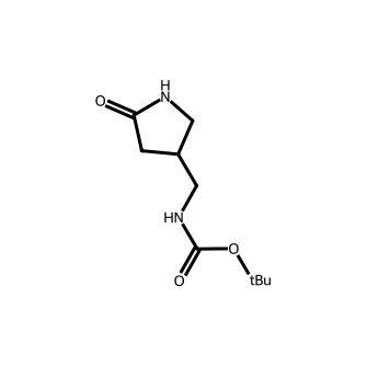 CC(C)(C)OC(=O)NCC1CNC(=O)C1